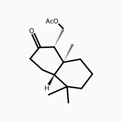 CC(=O)OC[C@H]1C(=O)CC[C@H]2C(C)(C)CCC[C@]12C